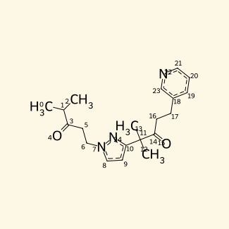 CC(C)C(=O)CCn1ccc(C(C)(C)C(=O)CCc2cccnc2)n1